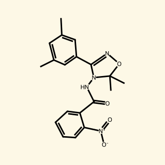 Cc1cc(C)cc(C2=NOC(C)(C)N2NC(=O)c2ccccc2[N+](=O)[O-])c1